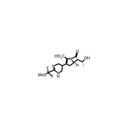 CSC(F)(F)C1=NCC(C2=C(C(=O)O)N3C(=O)[C@H]([C@@H](C)O)[C@H]3C2)CN1